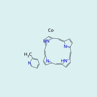 C1=Cc2cc3ccc(cc4nc(cc5ccc(cc1n2)[nH]5)C=C4)[nH]3.Cc1ccccn1.[Co]